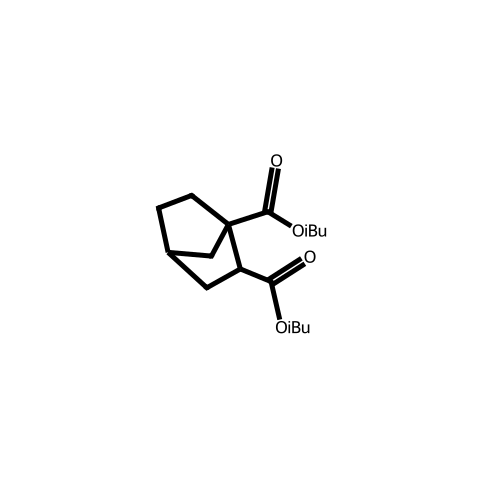 CC(C)COC(=O)C1CC2CCC1(C(=O)OCC(C)C)C2